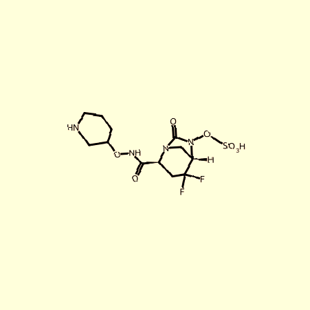 O=C(NOC1CCCNC1)[C@@H]1CC(F)(F)[C@@H]2CN1C(=O)N2OS(=O)(=O)O